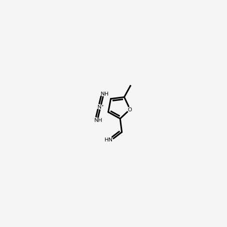 Cc1ccc(C=N)o1.N=[N+]=N